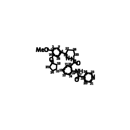 COc1ccc(C2=NN(C(=O)c3ccccc3NC(=O)c3ccncc3)CCC2)cc1OC1CCCC1